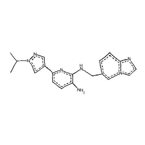 CC(C)n1cc(-c2ccc(N)c(NCc3ccc4nccn4c3)n2)cn1